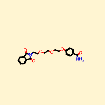 NC(=O)c1ccc(OCCOCCOCCN2C(=O)c3ccccc3C2=O)cc1